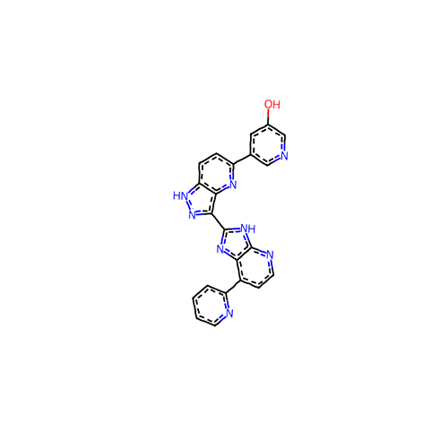 Oc1cncc(-c2ccc3[nH]nc(-c4nc5c(-c6ccccn6)ccnc5[nH]4)c3n2)c1